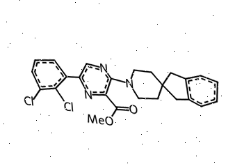 COC(=O)c1nc(-c2cccc(Cl)c2Cl)cnc1N1CCC2(CC1)Cc1ccccc1C2